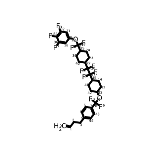 C=CCCc1ccc(C(F)(F)OC2CCC(C(F)(F)C(F)(F)C3CCC(C(F)(F)Oc4cc(F)c(F)c(F)c4)CC3)CC2)cc1